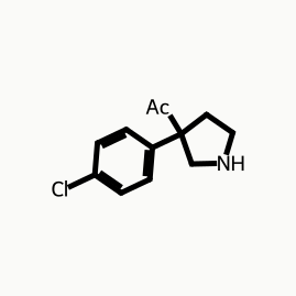 CC(=O)C1(c2ccc(Cl)cc2)CCNC1